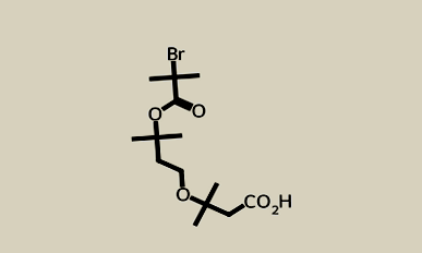 CC(C)(CC(=O)O)OCCC(C)(C)OC(=O)C(C)(C)Br